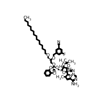 CCCCCCCCCCCCCCCCOC[C@H](COP(=O)(OC[C@H]1O[C@@](C#N)(C2C(C)C=C3C(N)=NC=NN32)[C@@H]2OC(C)(C)O[C@@H]21)Oc1ccccc1Cl)OCc1cc(F)cc(C#N)c1